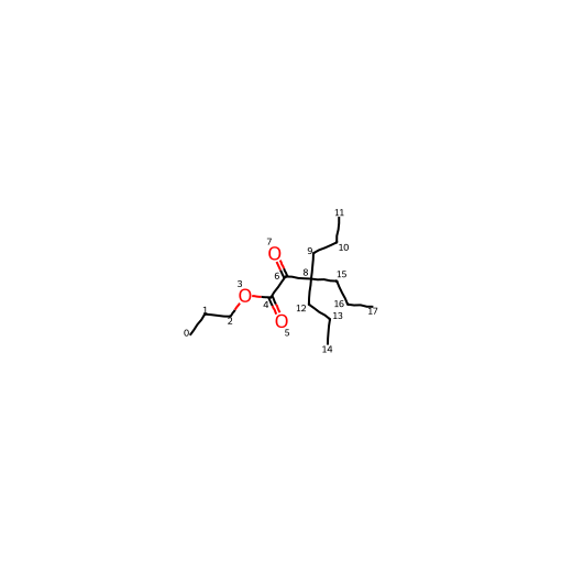 CCCOC(=O)C(=O)C(CCC)(CCC)CCC